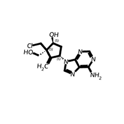 C=C1[C@@H](n2cnc3c(N)ncnc32)C[C@H](O)[C@]1(CO)CCl